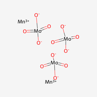 [Mn+3].[Mn+3].[O]=[Mo](=[O])([O-])[O-].[O]=[Mo](=[O])([O-])[O-].[O]=[Mo](=[O])([O-])[O-]